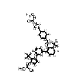 COC(=O)N1CC(c2ccc(COc3c(-c4cccc(-n5ncc(OC(=O)O)c5C(F)(F)F)n4)cccc3C(F)(F)F)cc2)C1